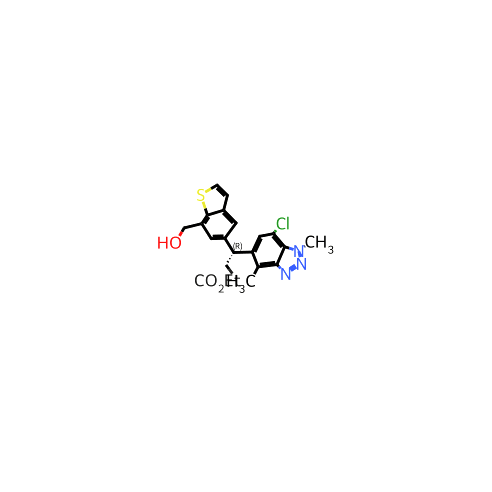 CCOC(=O)C[C@H](c1cc(CO)c2sccc2c1)c1cc(Cl)c2c(nnn2C)c1C